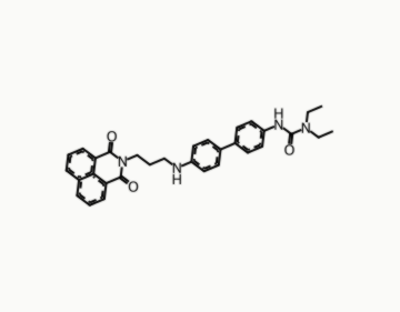 CCN(CC)C(=O)Nc1ccc(-c2ccc(NCCCN3C(=O)c4cccc5cccc(c45)C3=O)cc2)cc1